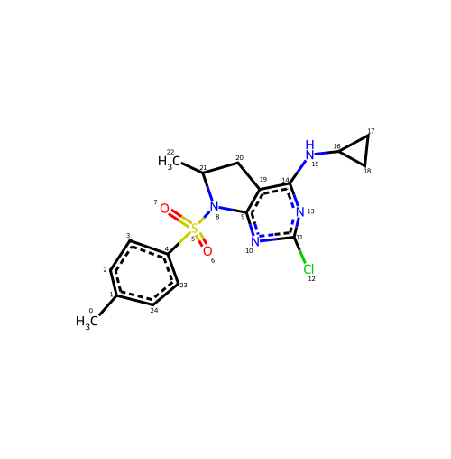 Cc1ccc(S(=O)(=O)N2c3nc(Cl)nc(NC4CC4)c3CC2C)cc1